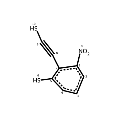 O=[N+]([O-])c1cccc(S)c1C#CS